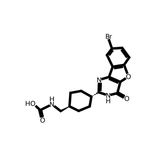 O=C(O)NC[C@H]1CC[C@H](c2nc3c(oc4ccc(Br)cc43)c(=O)[nH]2)CC1